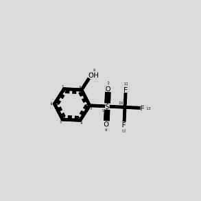 O=S(=O)(c1ccccc1O)C(F)(F)F